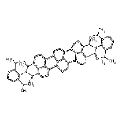 CC(C)c1cccc(C(C)C)c1N1C(=O)c2ccc3c4ccc5c6ccc7c8c(ccc(c9ccc(c%10ccc(c2c3%10)C1=O)c4c59)c86)C(=O)N(c1c(C(C)C)cccc1C(C)C)C7=O